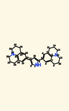 c1[nH]c(-c2cc3c4c(c2)CCCN4CCC3)cc1-c1cc2c3c(c1)CCCN3CCC2